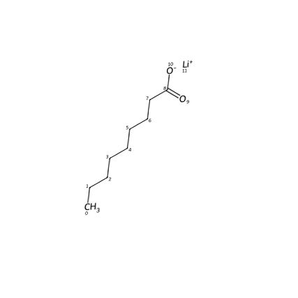 CCCCCCCCC(=O)[O-].[Li+]